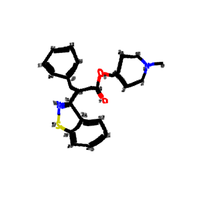 CN1CCC(OC(=O)C(c2ccccc2)c2nsc3ccccc23)CC1